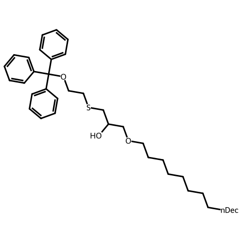 CCCCCCCCCCCCCCCCCCOCC(O)CSCCOC(c1ccccc1)(c1ccccc1)c1ccccc1